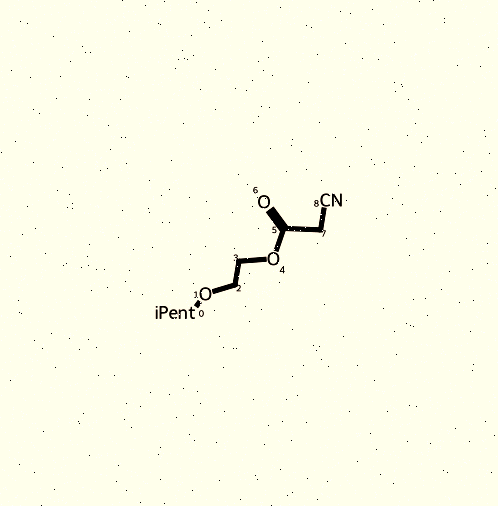 CCCC(C)OCCOC(=O)CC#N